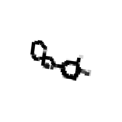 CCCCCCC1(CCc2ccc(Cl)c(F)c2)CCCCC1